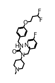 CN1CCC(N(Cc2ccc(F)cn2)C(=O)NCc2ccc(OCCC(F)F)cc2)CC1